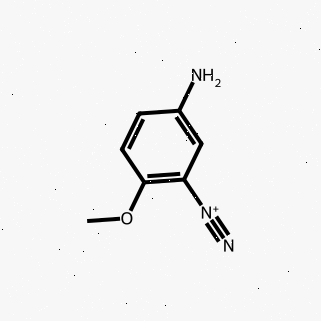 COc1ccc(N)cc1[N+]#N